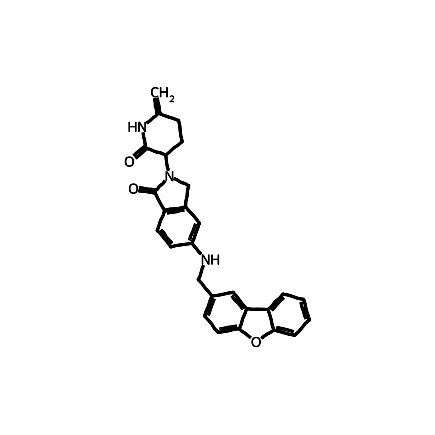 C=C1CCC(N2Cc3cc(NCc4ccc5oc6ccccc6c5c4)ccc3C2=O)C(=O)N1